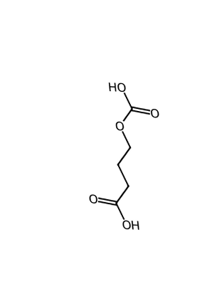 O=C(O)CCCOC(=O)O